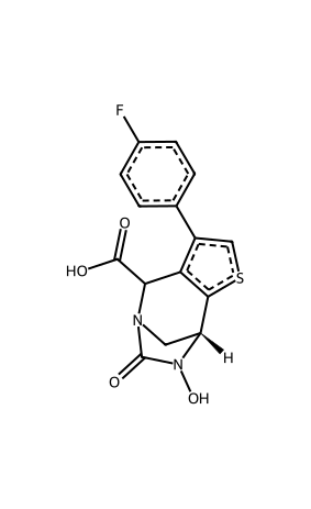 O=C(O)C1c2c(-c3ccc(F)cc3)csc2[C@H]2CN1C(=O)N2O